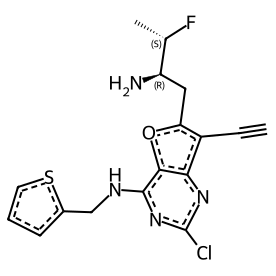 C#Cc1c(C[C@@H](N)[C@H](C)F)oc2c(NCc3cccs3)nc(Cl)nc12